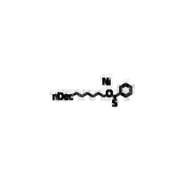 CCCCCCCCCCCCCCCCOC(=S)c1ccccc1.[Ni]